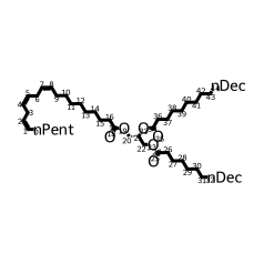 CCCCC/C=C\C/C=C\C/C=C\CCCCCCCCC(=O)OC[C@@H](COC(=O)CCCCCCCCCCCCCCCC)OC(=O)CCCCCCCCCCCCCCCCCC